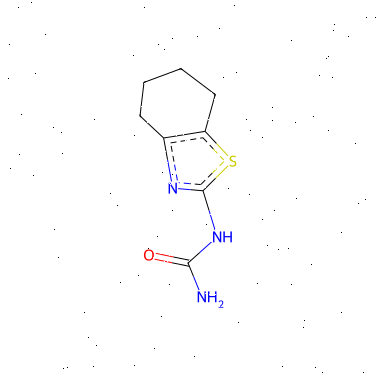 NC(=O)Nc1nc2c(s1)CCCC2